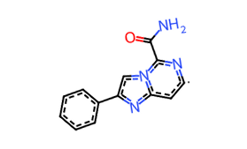 NC(=O)c1n[c]cc2nc(-c3ccccc3)cn12